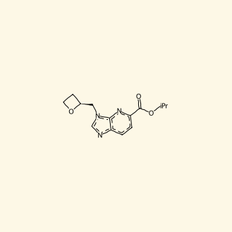 CC(C)OC(=O)c1ccc2ncn(C[C@@H]3CCO3)c2n1